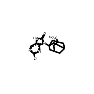 O=C(O)C12CC3CC(C1)CC(n1c(=O)[nH]c4cnc(Cl)nc41)(C3)C2